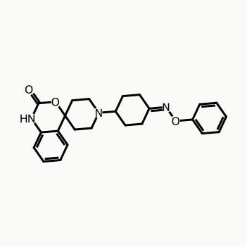 O=C1Nc2ccccc2C2(CCN(C3CCC(=NOc4ccccc4)CC3)CC2)O1